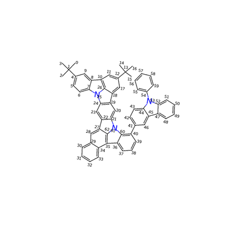 CC(C)(C)c1ccc2c(c1)c1cc(C(C)(C)C)cc3c4cc5c(cc4n2c13)c1cc2ccccc2c2c3cccc(-c4ccc6c(c4)c4ccccc4n6-c4ccccc4)c3n5c12